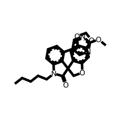 CCCCCN1C(=O)C2(COc3cc4c(cc32)OCO4)c2c(-c3cnc(OC)nc3)cccc21